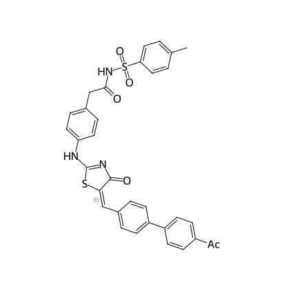 CC(=O)c1ccc(-c2ccc(/C=C3/SC(Nc4ccc(CC(=O)NS(=O)(=O)c5ccc(C)cc5)cc4)=NC3=O)cc2)cc1